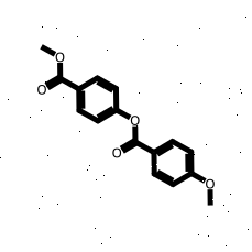 COC(=O)c1ccc(OC(=O)c2ccc(OC)cc2)cc1